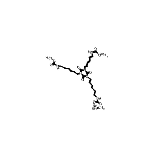 CCCC.NOC(=O)NCCCCCCn1c(=O)n(CCCCCCNC(=O)ON)c(=O)n(CCCCCCNC(=O)ON)c1=O